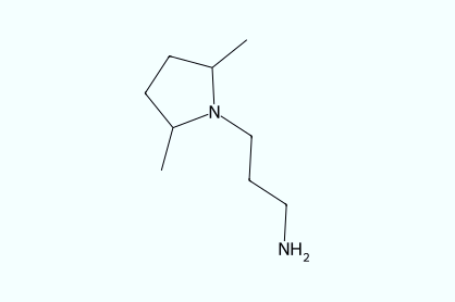 CC1CCC(C)N1CCCN